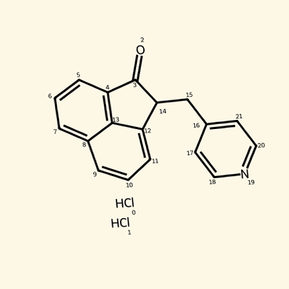 Cl.Cl.O=C1c2cccc3cccc(c23)C1Cc1ccncc1